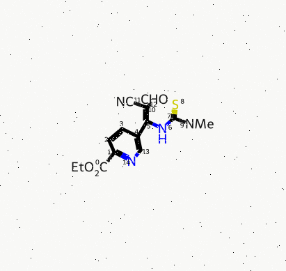 CCOC(=O)c1ccc(/C(NC(=S)NC)=C(\C#N)C=O)cn1